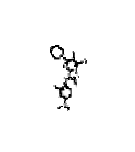 CC1=Nn2c(nc(C3CCCCC3)c(C)c2=O)C1=Nc1ccc(N(C)C)cc1C